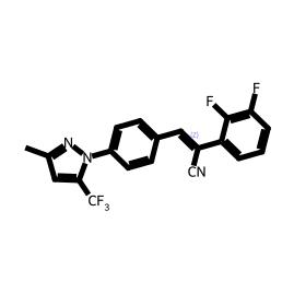 Cc1cc(C(F)(F)F)n(-c2ccc(/C=C(\C#N)c3cccc(F)c3F)cc2)n1